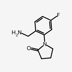 NCc1ccc(F)cc1N1CCCC1=O